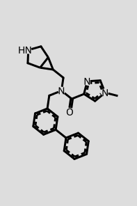 Cn1cnc(C(=O)N(Cc2cccc(-c3ccccc3)c2)CC2C3CNCC32)c1